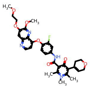 COCCOc1cc2nccc(Oc3ccc(NC(=O)c4c(C)n(C)c(C)c(C5=CCOCC5)c4=O)cc3F)c2nc1OC